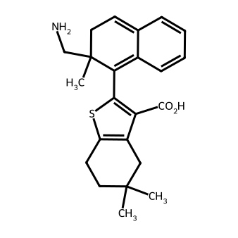 CC1(C)CCc2sc(C3=c4ccccc4=CCC3(C)CN)c(C(=O)O)c2C1